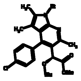 CCn1c(C)c(C)c2c(-c3ccc(Cl)cc3)c([C@H](OC(C)(C)C)C(=O)OC)c(C)nc21